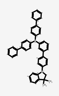 CC1(C)CN(c2ccc(-c3cccc(N(c4ccc(-c5ccccc5)cc4)c4ccc(-c5ccccc5)cc4)c3)cc2)c2ccccc21